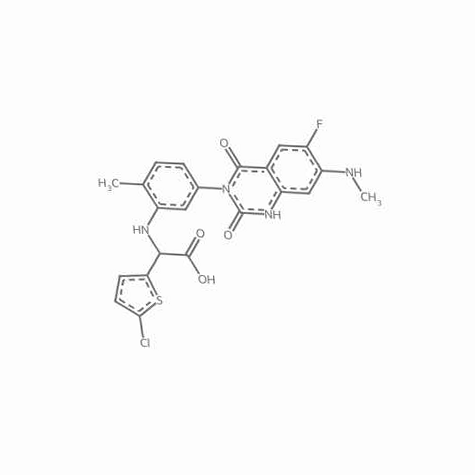 CNc1cc2[nH]c(=O)n(-c3ccc(C)c(NC(C(=O)O)c4ccc(Cl)s4)c3)c(=O)c2cc1F